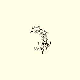 COc1cc(S(=O)(=O)Nc2ccc(Oc3ccnc4cc(OC)c(OC)cc34)cc2C)ccc1F